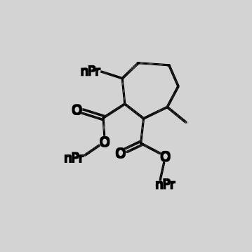 CCCOC(=O)C1C(C)CCCC(CCC)C1C(=O)OCCC